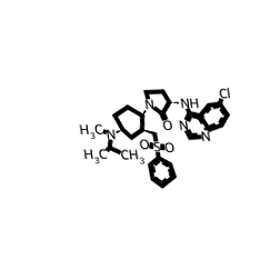 CC(C)N(C)[C@@H]1CC[C@H](N2CC[C@H](Nc3ncnc4ccc(Cl)cc34)C2=O)[C@@H](CS(=O)(=O)c2ccccc2)C1